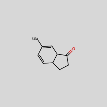 CC(C)(C)C1=CC2C(=O)CCC2C=C1